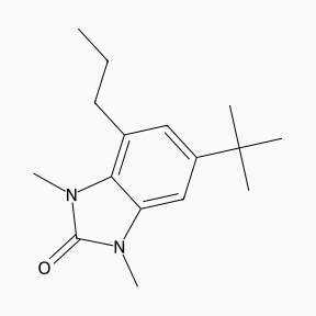 CCCc1cc(C(C)(C)C)cc2c1n(C)c(=O)n2C